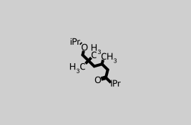 CC(CC(=O)C(C)C)CC(C)(C)COC(C)C